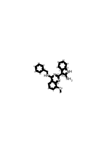 COc1cccc2c(NCc3ccccc3)nc(-c3c(N)[nH]c4ccccc34)nc12